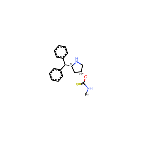 CCNC(=S)O[C@H]1CN[C@@H](C(c2ccccc2)c2ccccc2)C1